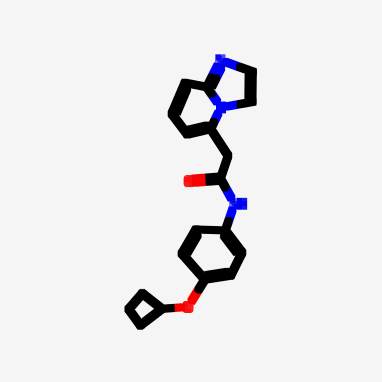 O=C(Cc1cccc2nccn12)Nc1ccc(OC2CCC2)cc1